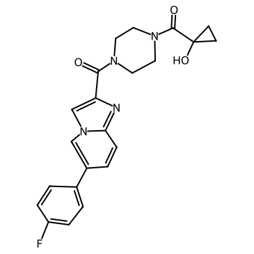 O=C(c1cn2cc(-c3ccc(F)cc3)ccc2n1)N1CCN(C(=O)C2(O)CC2)CC1